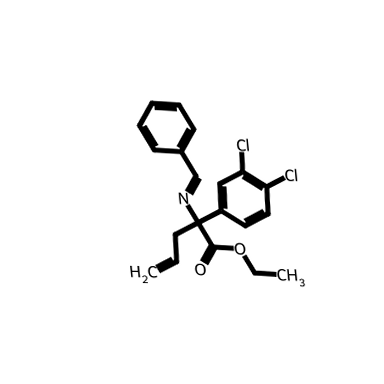 C=CCC(N=Cc1ccccc1)(C(=O)OCC)c1ccc(Cl)c(Cl)c1